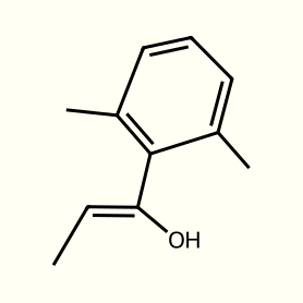 CC=C(O)c1c(C)cccc1C